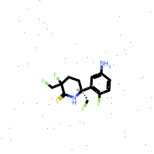 Nc1ccc(F)c([C@]2(CF)CCC(F)(CF)C(=S)N2)c1